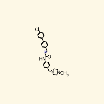 CN1CCN(Cc2ccc(NC(=O)/C=C/c3ccc(-c4ccc(Cl)cc4)cc3)cc2)CC1